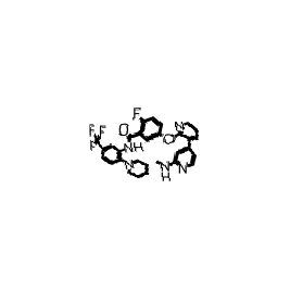 CNc1cc(-c2cccnc2Oc2ccc(F)c(C(=O)Nc3cc(C(F)(F)F)ccc3N3CCCCC3)c2)ccn1